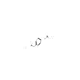 CNC(=O)COc1ccc(C[C@@H](C)N)cc1.Cl